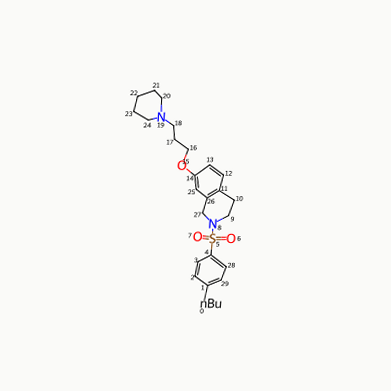 CCCCc1ccc(S(=O)(=O)N2CCc3ccc(OCCCN4CCCCC4)cc3C2)cc1